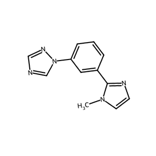 Cn1ccnc1-c1cccc(-n2cncn2)c1